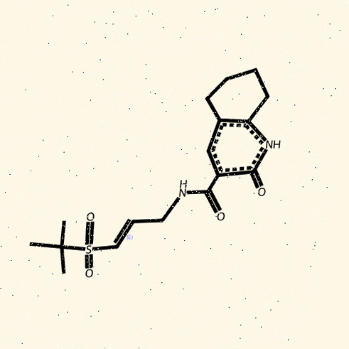 CC(C)(C)S(=O)(=O)/C=C/CNC(=O)c1cc2c([nH]c1=O)CCCC2